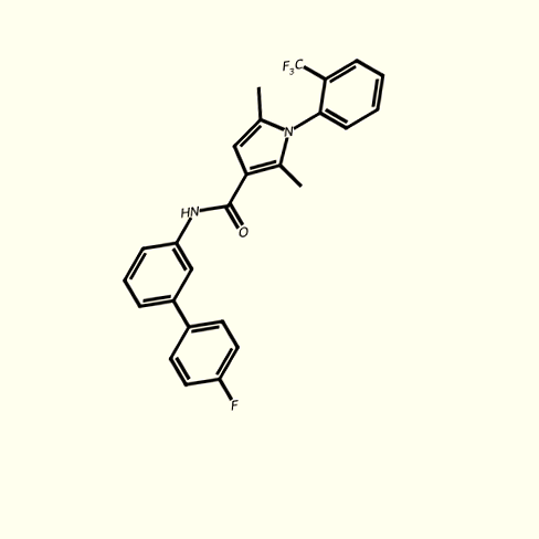 Cc1cc(C(=O)Nc2cccc(-c3ccc(F)cc3)c2)c(C)n1-c1ccccc1C(F)(F)F